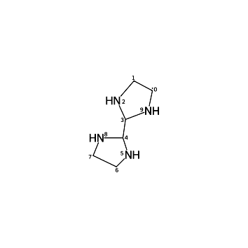 [CH]1CNC(C2NCCN2)N1